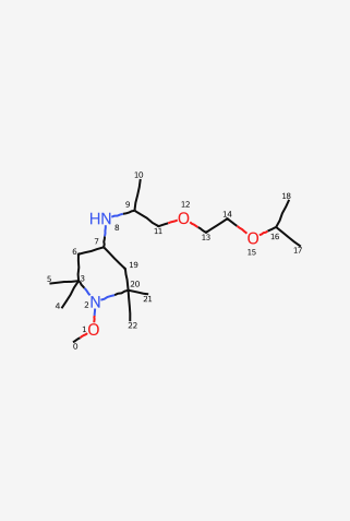 CON1C(C)(C)CC(NC(C)COCCOC(C)C)CC1(C)C